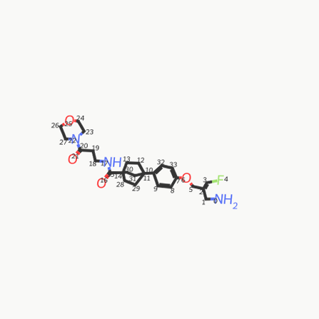 NCC(=CF)COc1ccc(C23CCC(C(=O)NCCC(=O)N4CCOCC4)(CC2)CC3)cc1